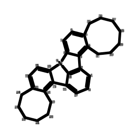 c1cc2c3c4c(ccc3n3c5ccc6c(c5c(c1)c23)CCCCCC6)CCCCCCC4